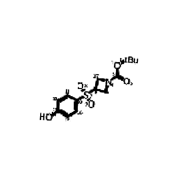 CC(C)(C)OC(=O)N1CC(S(=O)(=O)c2ccc(O)cc2)C1